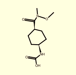 CON(C)C(=O)[C@H]1CC[C@@H](NC(=O)O)CC1